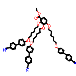 CCOC(=O)c1ccc(OCCCCCCOc2ccc(-c3ccc(C#N)cc3)cc2)c(OCCCCCCOc2ccc(-c3ccc(C#N)cc3)cc2)c1OCCCCCCOc1ccc(-c2ccc(C#N)cc2)cc1